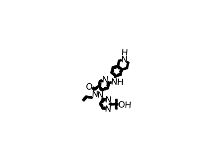 C=CCn1c(=O)c2cnc(Nc3ccc4c(c3)CCNC4)cc2n1-c1ccnc(C(C)(C)O)n1